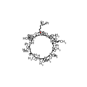 C/C=C/C[C@@H](C)[C@@H](O)[C@H]1C(=O)N[C@@H](CC)C(=O)N(C)[C@H](CSCCCN(CC)CC(C)C)C(=O)N(C)[C@@H](CC(C)(C)O)C(=O)N[C@@H](C(C)C)C(=O)N(C)[C@@H](CC(C)C)C(=O)N[C@@H](C)C(=O)N[C@H](C)C(=O)N(C)[C@@H](CC(C)C)C(=O)N(C)[C@@H](CC(C)C)C(=O)N(C)[C@@H](C(C)C)C(=O)N1C